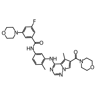 Cc1ccc(NC(=O)c2cc(F)cc(N3CCOCC3)c2)cc1Nc1ncnn2cc(C(=O)N3CCOCC3)c(C)c12